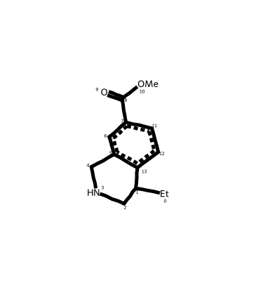 CCC1CNCc2cc(C(=O)OC)ccc21